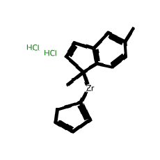 Cc1ccc2c(c1)C=C[C]2(C)[Zr][C]1=CC=CC1.Cl.Cl